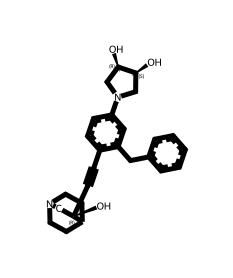 O[C@@H]1CN(c2ccc(C#C[C@@]3(O)CN4CCC3CC4)c(Cc3ccccc3)c2)C[C@@H]1O